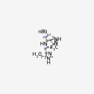 C=Cc1[nH]cnc1/C=C/NC(/C=C/CCCC)c1c[nH]nc1C(F)(F)F